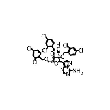 C#C[C@]1(OCc2ccc(Cl)cc2Cl)C(c2cnn3c(N)ncnc23)O[C@H](COCc2ccc(Cl)cc2Cl)[C@H]1OCc1ccc(Cl)cc1Cl